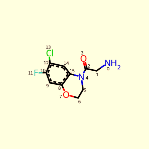 NCC(=O)N1CCOc2cc(F)c(Cl)cc21